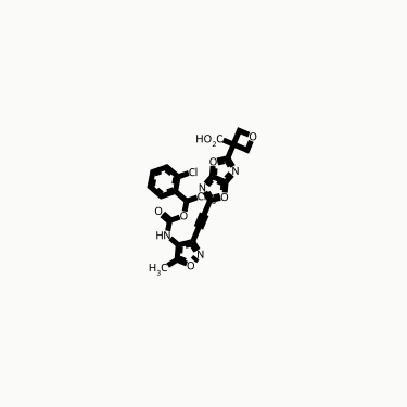 Cc1onc(C#Cc2nc3oc(C4(C(=O)O)COC4)nc3o2)c1NC(=O)OC(C)c1ccccc1Cl